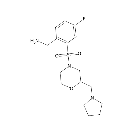 NCc1ccc(F)cc1S(=O)(=O)N1CCOC(CN2CCCC2)C1